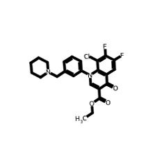 CCOC(=O)c1cn(-c2cccc(CN3CCCCC3)c2)c2c(Cl)c(F)c(F)cc2c1=O